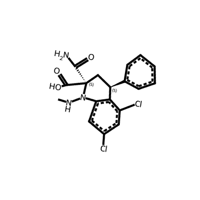 CNN1c2cc(Cl)cc(Cl)c2[C@H](c2ccccc2)C[C@]1(C(N)=O)C(=O)O